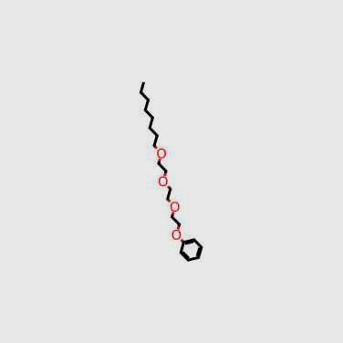 CCCCCCCCOCCOCCOCCOc1ccccc1